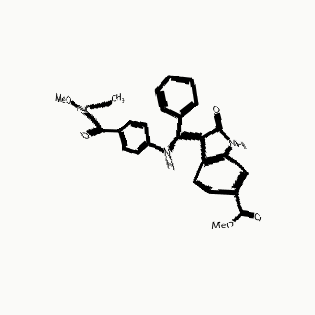 COC(=O)c1ccc2c(c1)NC(=O)C2=C(Nc1ccc(C(=O)N(C)OC)cc1)c1ccccc1